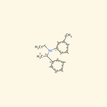 CCN(c1cccc(C)c1)C(C)c1ccccc1